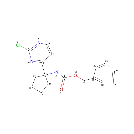 O=C(NC1(c2ccnc(Cl)n2)CCCC1)OCc1ccccc1